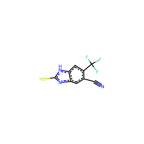 N#Cc1cc2nc(S)[nH]c2cc1C(F)(F)F